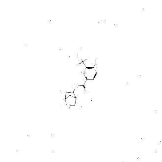 O=C(NC1CC2CC1CN2)c1ccc(F)c(C(F)(F)F)n1